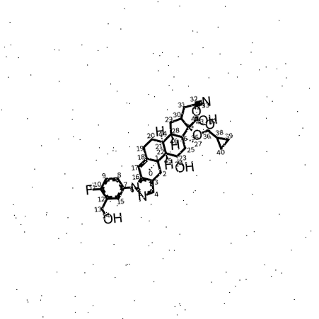 C[C@]12Cc3cnn(-c4ccc(F)c(CO)c4)c3C=C1CC[C@@H]1[C@@H]2[C@@H](O)C[C@@]2(C)[C@H]1CC(CC#N)[C@]2(OC(=O)C1CC1)C(=O)O